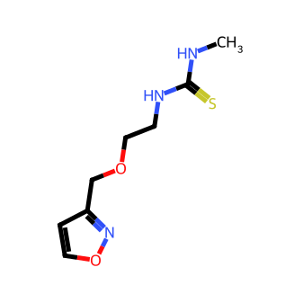 CNC(=S)NCCOCc1ccon1